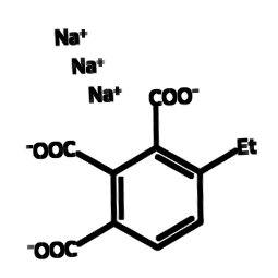 CCc1ccc(C(=O)[O-])c(C(=O)[O-])c1C(=O)[O-].[Na+].[Na+].[Na+]